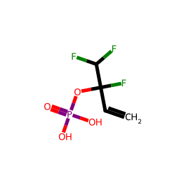 C=CC(F)(OP(=O)(O)O)C(F)F